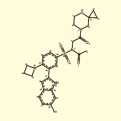 CC(=O)N(CC(=O)N1CCOC2(CC2)C1)S(=O)(=O)c1ccc(N2CCC2)c(-c2cc3ccc(C)cc3[nH]2)c1